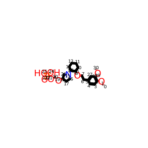 COc1ccc(CCO[C@@H]2CCCC[C@H]2N2CCC(OCOP(=O)(O)O)C2)cc1OC